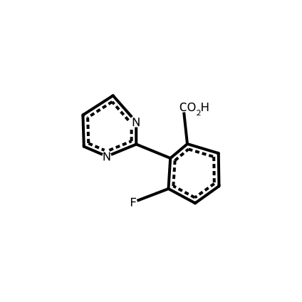 O=C(O)c1cccc(F)c1-c1ncccn1